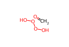 C=O.OOOO